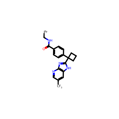 CC(C)CNC(=O)c1ccc(C2(c3nc4ncc(C(F)(F)F)cc4[nH]3)CCC2)cc1